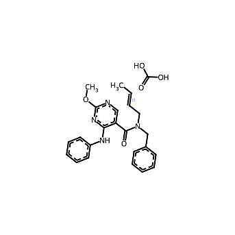 C/C=C/CN(Cc1ccccc1)C(=O)c1cnc(OC)nc1Nc1ccccc1.O=C(O)O